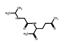 CC(=O)CCC(NC(=O)CNC(C)C)C(C)=O